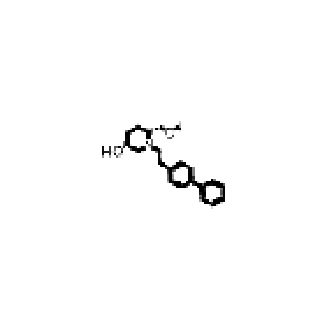 O[C@@H]1CC[C@H](COI)N(CCc2ccc(-c3ccccc3)cc2)C1